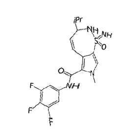 CC(C)C1C=Cc2c(cn(C)c2C(=O)Nc2cc(F)c(F)c(F)c2)S(=N)(=O)N1